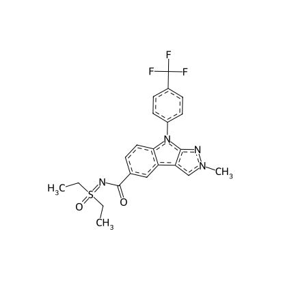 CCS(=O)(CC)=NC(=O)c1ccc2c(c1)c1cn(C)nc1n2-c1ccc(C(F)(F)F)cc1